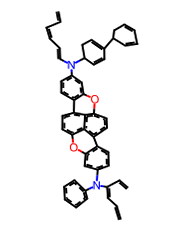 C=C/C=C\C=C\N(c1ccc2c(c1)Oc1ccc3c4c(ccc-2c14)Oc1cc(N(/C(C=C)=C/C=C)c2ccccc2)ccc1-3)C1C=CC(C2C=CC=CC2)=CC1